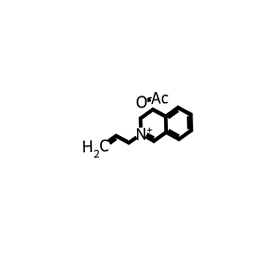 C=CC[N+]1=Cc2ccccc2CC1.CC(=O)[O-]